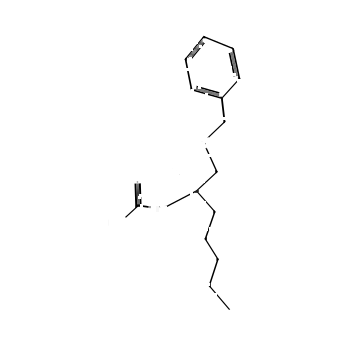 CCCCC[C@](C)(CNCc1ccccc1)NC(=O)O